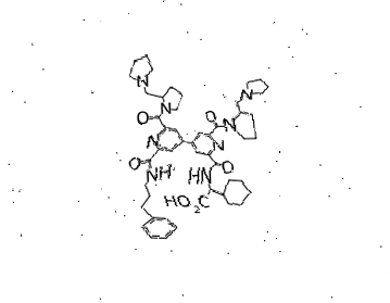 O=C(NCCCc1ccccc1)c1cc(-c2cc(C(=O)NC(C(=O)O)C3CCCCC3)nc(C(=O)N3CCCC3CN3CCCC3)c2)cc(C(=O)N2CCCC2CN2CCCC2)n1